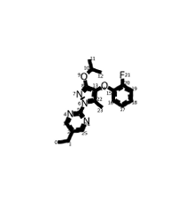 CCc1cnc(-n2nc(OC(C)C)c(Oc3ccccc3F)c2C)nc1